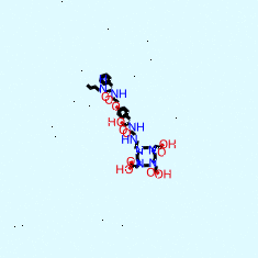 CCCCNC(=O)[C@H](Cc1ccccc1)NC(=O)COc1ccc(C[C@H](NC(=O)CNCCN2CCN(CC(=O)O)CCN(CC(=O)O)CCN(CC(=O)O)CC2)C(=O)O)cc1